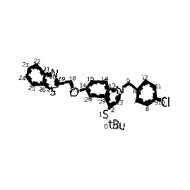 CC(C)(C)Sc1[c]n(Cc2ccc(Cl)cc2)c2ccc(OCc3nc4ccccc4s3)cc12